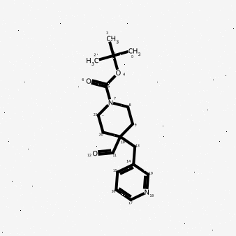 CC(C)(C)OC(=O)N1CCC(C=O)(Cc2cccnc2)CC1